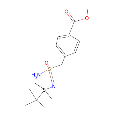 COC(=O)c1ccc(CS(N)(=O)=N[Si](C)(C)C(C)(C)C)cc1